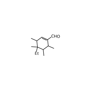 CCC1(C)C(C)C=C(C=O)C(C)C1C